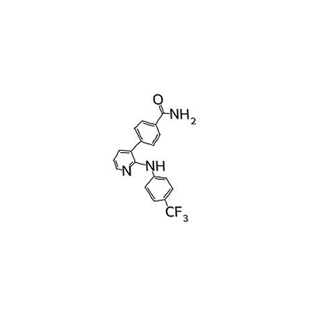 NC(=O)c1ccc(-c2cccnc2Nc2ccc(C(F)(F)F)cc2)cc1